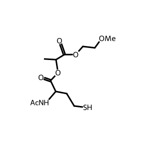 COCCOC(=O)C(C)OC(=O)C(CCS)NC(C)=O